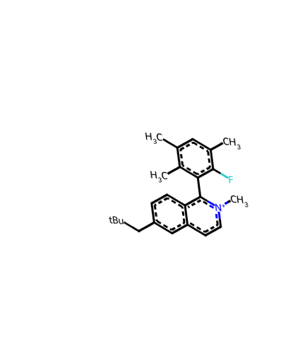 Cc1cc(C)c(F)c(-c2c3ccc(CC(C)(C)C)cc3cc[n+]2C)c1C